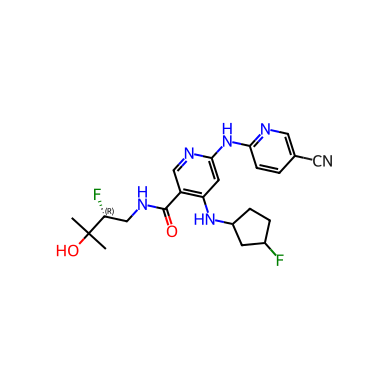 CC(C)(O)[C@H](F)CNC(=O)c1cnc(Nc2ccc(C#N)cn2)cc1NC1CCC(F)C1